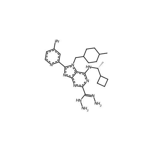 CC1CCC(Cn2c(-c3cc(C(C)C)ccn3)nc3nc(/C(=N/N)NN)nc(N[C@H](C)C4CCC4)c32)CC1